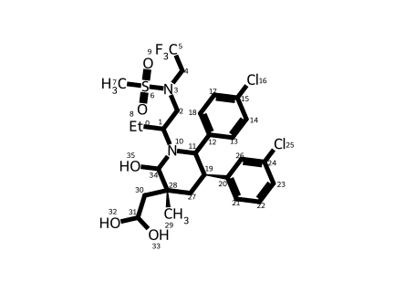 CCC(CN(CC(F)(F)F)S(C)(=O)=O)N1C(c2ccc(Cl)cc2)[C@@H](c2cccc(Cl)c2)C[C@](C)(CC(O)O)C1O